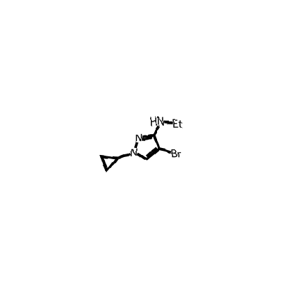 CCNc1nn(C2CC2)cc1Br